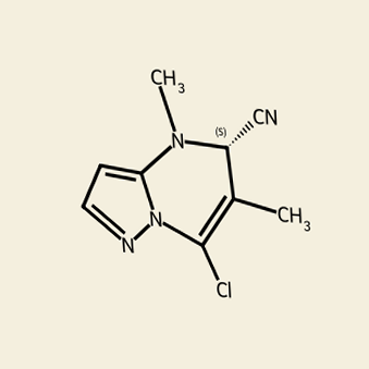 CC1=C(Cl)n2nccc2N(C)[C@@H]1C#N